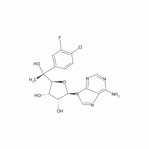 C[C@@](O)(c1ccc(Cl)c(F)c1)[C@H]1O[C@@H](n2cnc3c(N)ncnc32)[C@H](O)[C@@H]1O